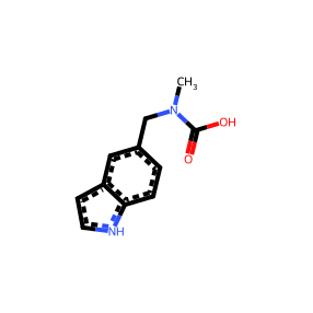 CN(Cc1ccc2[nH]ccc2c1)C(=O)O